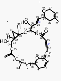 C=C1C[C@H](C)C[C@@H]2CC=C[C@@H](C/C=C\C(=O)N[C@H]([C@@H](O)/C=C/[C@@H]3CC(C)=CCO3)C[C@@H]3C[C@H]3[C@@H](O)C1)O2